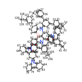 CC(C)(C)c1cc(-c2ccc3c(c2)N(c2cc(-c4ccccc4)cc(-c4ccccc4)c2)c2cc(-n4c5ccc(C(C)(C)C)cc5c5cc(C(C)(C)C)ccc54)cc4c2B3c2ccc(-n3c5ccccc5c5cc(-n6c7ccccc7c7ccccc76)ccc53)cc2N4c2c(-c3ccccc3)cc(C(C)(C)C)cc2-c2ccccc2)cc(C(C)(C)C)c1